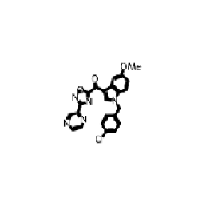 COc1ccc2c(c1)c(C(=O)c1nc(-c3cnccn3)no1)cn2Cc1ccc(Cl)cc1